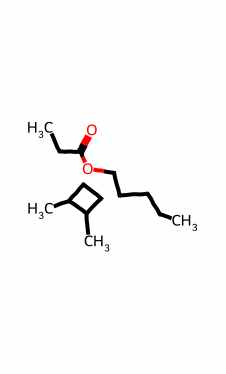 CC1CCC1C.CCCCCOC(=O)CC